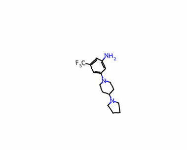 Nc1cc(N2CCC(N3CCCC3)CC2)cc(C(F)(F)F)c1